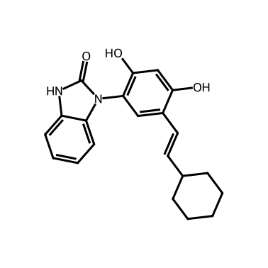 O=c1[nH]c2ccccc2n1-c1cc(C=CC2CCCCC2)c(O)cc1O